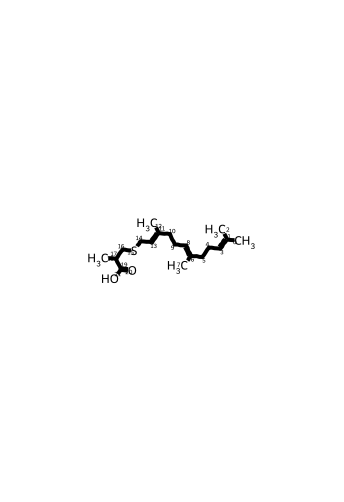 CC(C)=CCCC(C)=CCCC(C)=CCSCC(C)C(=O)O